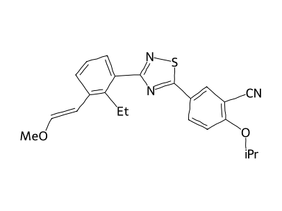 CCc1c(/C=C/OC)cccc1-c1nsc(-c2ccc(OC(C)C)c(C#N)c2)n1